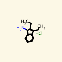 CCC1=C(CC)C(N)c2ccccc21.Cl